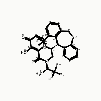 C[C@@H](N1CC([C@@H]2c3ccccc3SCc3cccc(C(F)(F)F)c32)n2ccc(=O)c(O)c2C1=O)C(F)(F)F